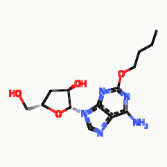 CCCCOc1nc(N)c2ncn([C@@H]3O[C@H](CO)C[C@H]3O)c2n1